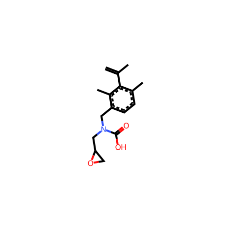 C=C(C)c1c(C)ccc(CN(CC2CO2)C(=O)O)c1C